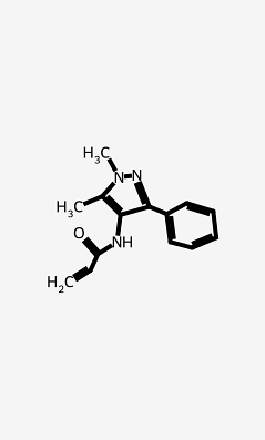 C=CC(=O)Nc1c(-c2ccccc2)nn(C)c1C